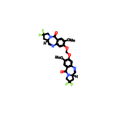 COc1cc2c(cc1OCOc1cc3c(cc1OC)C(=O)N1CC(F)(F)C[C@H]1C=N3)N=C[C@@H]1CC(F)(F)CN1C2=O